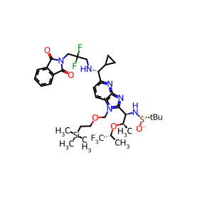 C[C@@H](O[C@H](C)C(F)(F)F)[C@H](N[S@+]([O-])C(C)(C)C)c1nc2nc([C@H](NCC(F)(F)CN3C(=O)c4ccccc4C3=O)C3CC3)ccc2n1COCC[Si](C)(C)C